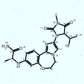 C[C@H](Nc1ccc2c(c1)OCCn1cc(N3C(=O)N(C)C(=O)C3C(F)F)nc1-2)C(N)=O